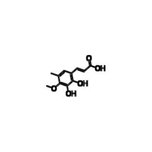 COc1c(C)cc(C=CC(=O)O)c(O)c1O